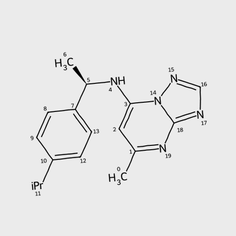 Cc1cc(N[C@H](C)c2ccc(C(C)C)cc2)n2ncnc2n1